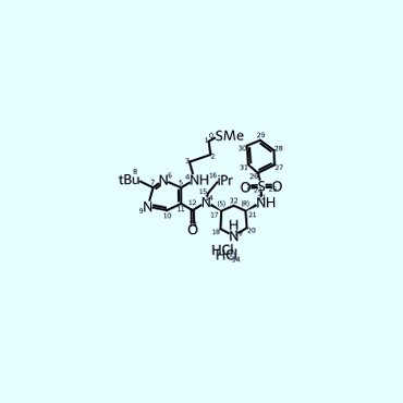 CSCCCNc1nc(C(C)(C)C)ncc1C(=O)N(CC(C)C)[C@@H]1CNC[C@H](NS(=O)(=O)c2ccccc2)C1.Cl.Cl